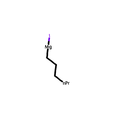 CCCCC[CH2][Mg][I]